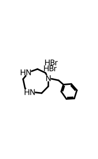 Br.Br.c1ccc(CN2CCNCCNCC2)cc1